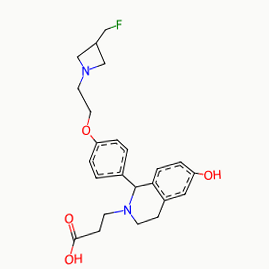 O=C(O)CCN1CCc2cc(O)ccc2C1c1ccc(OCCN2CC(CF)C2)cc1